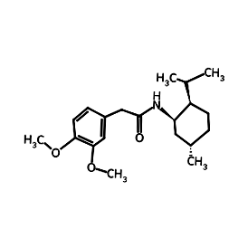 COc1ccc(CC(=O)N[C@@H]2C[C@@H](C)CC[C@@H]2C(C)C)cc1OC